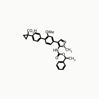 COc1cc(-c2cnn(C)c2NC(=O)OC(C)c2ccccc2)ccc1-c1ccc(C2(C(=O)O)CC2)cc1